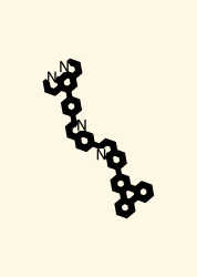 c1cnc2c(c1)cc(-c1ccc(-c3ccc4ccc(-c5ccc6ccc(-c7ccc8c9ccccc9c9ccccc9c8c7)cc6n5)cc4n3)cc1)c1cccnc12